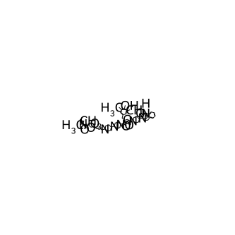 Cc1cc(C[C@@H](OC(=O)N2CCC(N3CCc4ccccc4NC3=O)CC2)C(=O)N2CCN(C3CCN(CCCC(=O)OCC(=O)N(C)C)CC3)CC2)cc(C)c1O